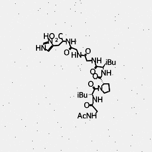 CC[C@H](C)[C@H](NC(=O)[C@@H]1CCCN1C(=O)[C@@H](NC(=O)CNC(C)=O)[C@@H](C)CC)C(=O)NCC(=O)NCC(=O)N[C@@H](Cc1c[nH]cn1)C(=O)O